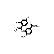 COC(=O)c1ccc(OC)c(N/C(=N\Cl)c2ccc(Cl)cc2Cl)c1